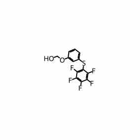 OCOc1cccc(Sc2c(F)c(F)c(F)c(F)c2F)c1